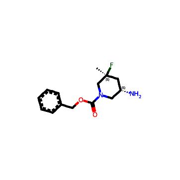 C[C@]1(F)C[C@H](N)CN(C(=O)OCc2ccccc2)C1